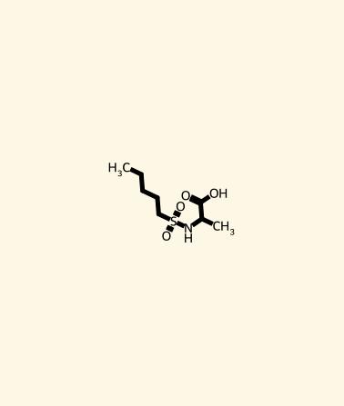 CCCCCS(=O)(=O)NC(C)C(=O)O